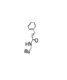 CCC(C)CNC(=O)/C=C/c1ccccc1